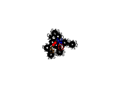 CC1(C)c2cc(-c3cccc4c3sc3ccccc34)ccc2-c2c(N(c3ccc(-c4ccccc4)cc3)c3cccc4c3oc3ccccc34)ccc3cccc1c23